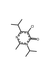 Cc1nc(C(C)C)c(Cl)c(=O)n1C(C)C